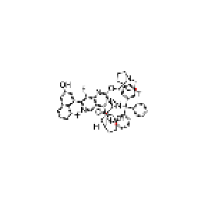 O=C(C1C[N@]1C(c1ccccc1)(c1ccccc1)c1ccccc1)N1[C@@H]2CC[C@H]1CN(c1nc(OC[C@@]34CCCN3C[C@H](F)C4)nc3c(F)c(-c4cc(O)cc5cccc(F)c45)ncc13)C2